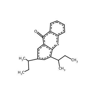 CCC(C)c1cc(C(C)CC)c2sc3ccccc3c(=O)c2c1